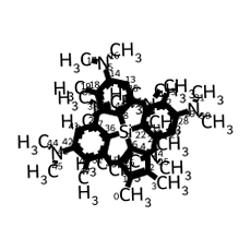 CC1=C(C)C(C)C([Si](c2c(N(C)C)cc(N(C)C)c(C)c2C)(c2c(N(C)C)cc(N(C)C)c(C)c2C)c2c(N(C)C)cc(N(C)C)c(C)c2C)=C1C